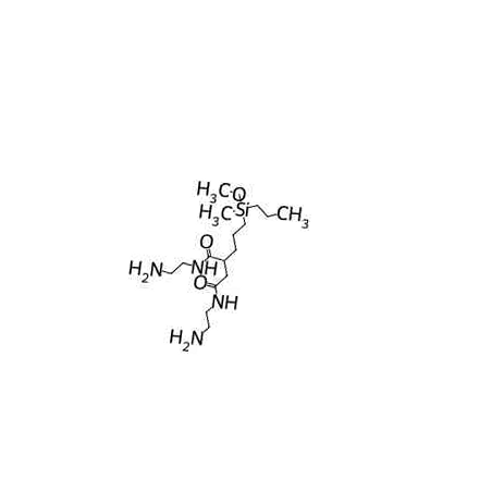 CCC[Si](C)(CCCC(CC(=O)NCCN)C(=O)NCCN)OC